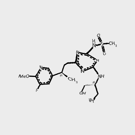 COc1ncc([C@H](C)Cc2nc(N[C@@H](CO)CC(C)C)nc(NS(C)(=O)=O)n2)cc1F